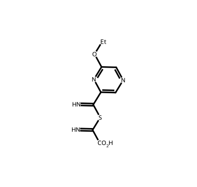 CCOc1cncc(C(=N)SC(=N)C(=O)O)n1